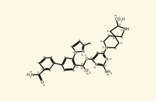 Cc1ccn(-c2cc(-c3cccc(C(N)=O)c3)ccc2[C@@H](Oc2cc(N3CCC4(CC3)CNC(C(=O)O)C4)nc(N)n2)C(F)(F)F)n1